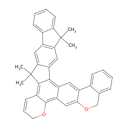 CC1(C)c2ccccc2-c2cc3c(cc21)-c1c(c2c(c4cc5c(cc14)-c1ccccc1CO5)OCC=C2)C3(C)C